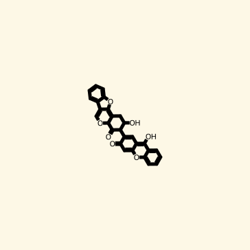 O=C1C2OC=c3c(oc4ccccc34)=C2CC(O)C1c1cc2c(O)c3ccccc3oc-2cc1=O